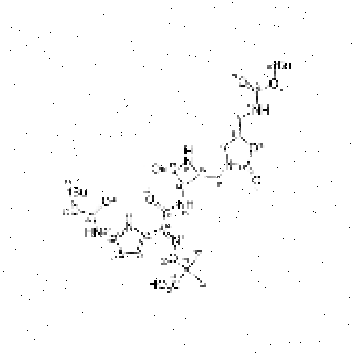 CC(C)(C)OC(=O)NCC1CN(C[C@H]2NC(=O)[C@H]2NC(=O)C(=NOC(C)(C)C(=O)O)c2csc(NC(=O)OC(C)(C)C)n2)C(=O)O1